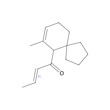 C/C=C/C(=O)C1C(C)=CCCC12CCCC2